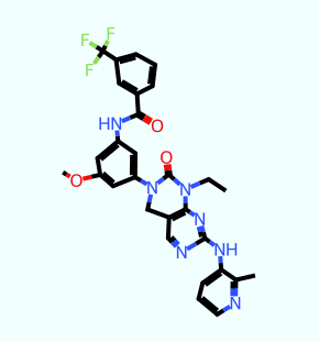 CCN1C(=O)N(c2cc(NC(=O)c3cccc(C(F)(F)F)c3)cc(OC)c2)Cc2cnc(Nc3cccnc3C)nc21